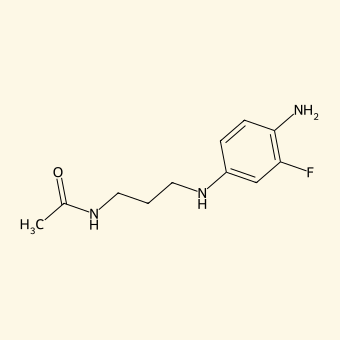 CC(=O)NCCCNc1ccc(N)c(F)c1